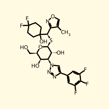 Cc1conc1[C@@H](S[C@@H]1O[C@H](CO)[C@H](O)[C@H](n2cc(-c3cc(F)c(F)c(F)c3)nn2)[C@H]1O)C1(O)CCC(F)(F)CC1